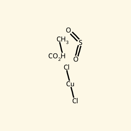 CC(=O)O.O=S=O.[Cl][Cu][Cl]